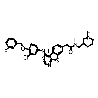 O=C(Cc1ccc2c(c1)sc1ncnc(Nc3ccc(OCc4cccc(F)c4)c(Cl)c3)c12)NCC1CCCNC1